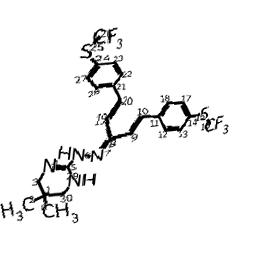 CC1(C)CN=C(NN=C(C=Cc2ccc(SC(F)(F)F)cc2)C=Cc2ccc(SC(F)(F)F)cc2)NC1